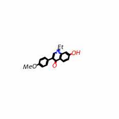 CCn1cc(-c2ccc(OC)cc2)c(=O)c2ccc(O)cc21